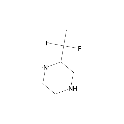 CC(F)(F)C1CNCC[N]1